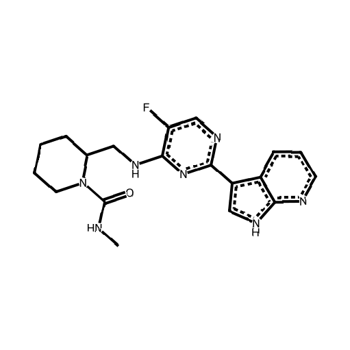 CNC(=O)N1CCCCC1CNc1nc(-c2c[nH]c3ncccc23)ncc1F